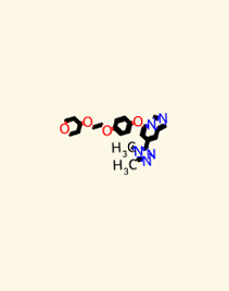 Cc1nnc(-c2cc(Oc3ccc(OCCOC4CCOCC4)cc3)n3cncc3c2)n1C